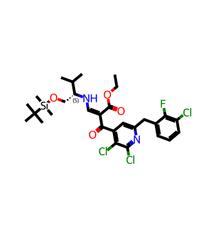 CCOC(=O)C(=CN[C@H](CO[Si](C)(C)C(C)(C)C)C(C)C)C(=O)c1cc(Cc2cccc(Cl)c2F)nc(Cl)c1Cl